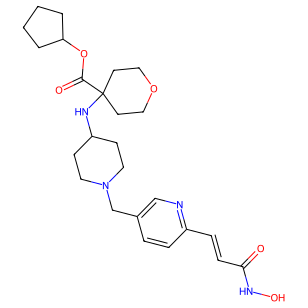 O=C(C=Cc1ccc(CN2CCC(NC3(C(=O)OC4CCCC4)CCOCC3)CC2)cn1)NO